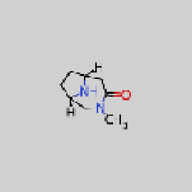 CN1C[C@@H]2CC[C@H](CC1=O)N2